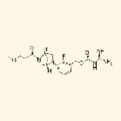 COCCC(=O)N1C[C@@H]2C[C@H]1CN2c1cccc(COC(=O)NC(=N)N)c1F